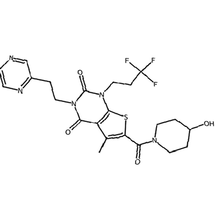 Cc1c(C(=O)N2CCC(O)CC2)sc2c1c(=O)n(CCc1cnccn1)c(=O)n2CCC(F)(F)F